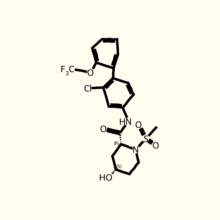 CS(=O)(=O)N1CC[C@H](O)C[C@@H]1C(=O)Nc1ccc(-c2ccccc2OC(F)(F)F)c(Cl)c1